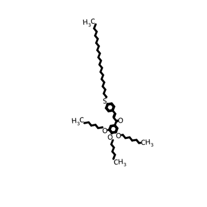 CCCCCCCCCCCCCCCCCCCCCCSc1ccc(C=CC(=O)c2cc(OCCCCCCC)c(OCCCCCCC)c(OCCCCCCC)c2)cc1